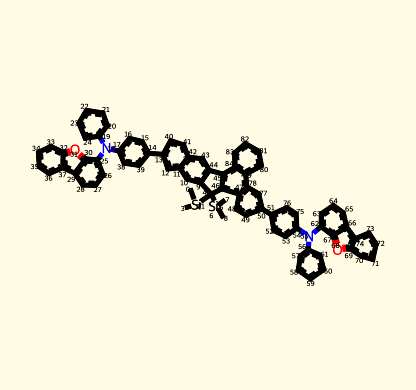 C[Si](C)(C)C1([Si](C)(C)C)c2cc3cc(-c4ccc(N(c5ccccc5)c5cccc6c5oc5ccccc56)cc4)ccc3cc2-c2c1c1ccc(-c3ccc(N(c4ccccc4)c4cccc5c4oc4ccccc45)cc3)cc1c1ccccc21